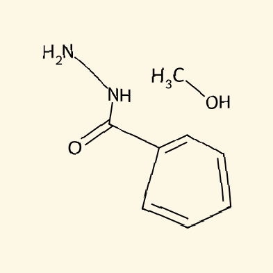 CO.NNC(=O)c1ccccc1